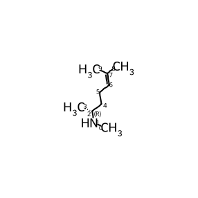 CN[C@H](C)CCC=C(C)C